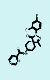 CC1=NN(c2ccc(F)cc2Cl)C(=O)[C@]12CC[C@H](NC(=O)c1ccncn1)CC2